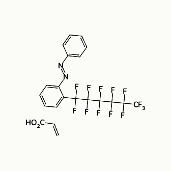 C=CC(=O)O.FC(F)(F)C(F)(F)C(F)(F)C(F)(F)C(F)(F)C(F)(F)c1ccccc1N=Nc1ccccc1